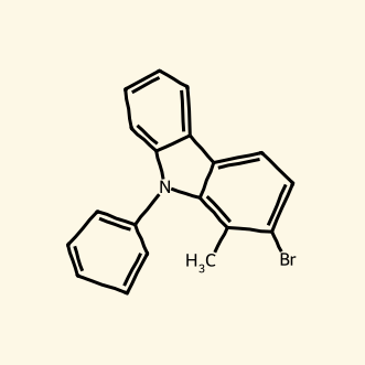 Cc1c(Br)ccc2c3ccccc3n(-c3ccccc3)c12